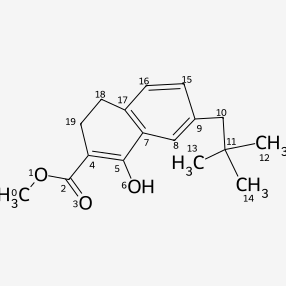 COC(=O)C1=C(O)c2cc(CC(C)(C)C)ccc2CC1